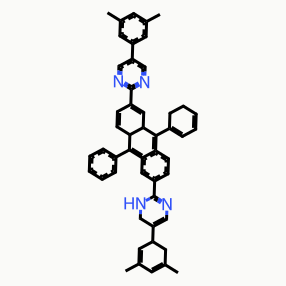 CC1=CC(C2=CN=C(c3ccc4c(c3)=C(c3ccccc3)C3C=CC(c5ncc(-c6cc(C)cc(C)c6)cn5)=CC3C=4C3=CC=CCC3)NC2)CC(C)=C1